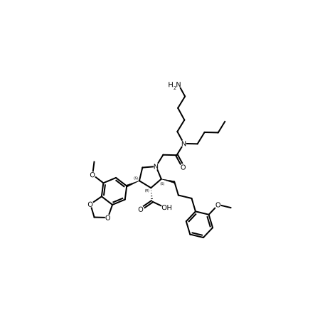 CCCCN(CCCCN)C(=O)CN1C[C@H](c2cc(OC)c3c(c2)OCO3)[C@@H](C(=O)O)[C@@H]1CCCc1ccccc1OC